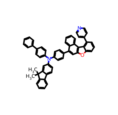 CC1(C)c2ccccc2-c2ccc(N(c3ccc(-c4ccccc4)cc3)c3ccc(-c4cc5oc6cccc(-c7ccncc7)c6c5c5ccccc45)cc3)cc21